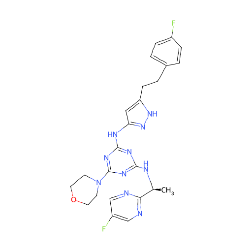 C[C@H](Nc1nc(Nc2cc(CCc3ccc(F)cc3)[nH]n2)nc(N2CCOCC2)n1)c1ncc(F)cn1